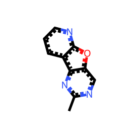 Cc1ncc2oc3ncccc3c2n1